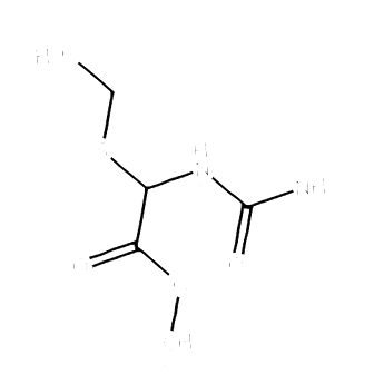 CCSC(NC(N)=O)C(=O)OC